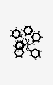 c1ccc([Si]([O][Ti]([O]C2CCCCC2)([O]C2CCCCC2)[O]C2CCCCC2)(c2ccccc2)c2ccccc2)cc1